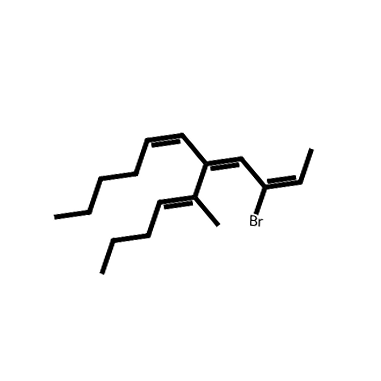 C\C=C(Br)/C=C(/C=C\CCCC)C(\C)=C\CCC